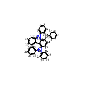 c1ccc(B2c3ccccc3-n3c4ccccc4c4c(N(c5ccccc5)c5ccccc5)ccc2c43)cc1